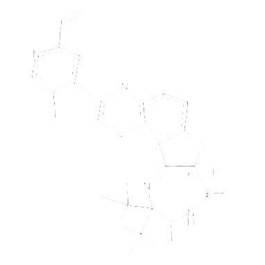 C=Cc1cc(-c2ccc3c4c(ccc3n2)S[C@H]2C(=O)NC(C)C(C(C)(C)C)(C(C)(C)C)N=C42)c(C)cn1